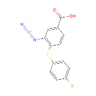 [N-]=[N+]=Nc1cc(C(=O)O)ccc1Sc1ccc(F)cc1